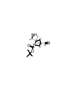 CC(C)(C)OC(=O)N1C[C@@H](C#N)C[C@H]1CN